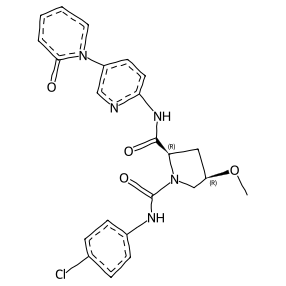 CO[C@@H]1C[C@H](C(=O)Nc2ccc(-n3ccccc3=O)cn2)N(C(=O)Nc2ccc(Cl)cc2)C1